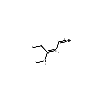 CC/C(=N\C=N)OC